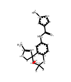 CCCn1cc(C(=O)Nc2ccc3c(c2)C2(COC(N)=N2)C2(COC2)C(C)(C)O3)cn1